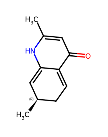 Cc1cc(=O)c2c([nH]1)=C[C@H](C)CC=2